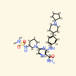 CN(C)S(=O)(=O)NC1CCCN(c2cnc(C(N)=O)c(Nc3ccc(C4CCN(C5CCCC5)CC4)cc3)n2)C1